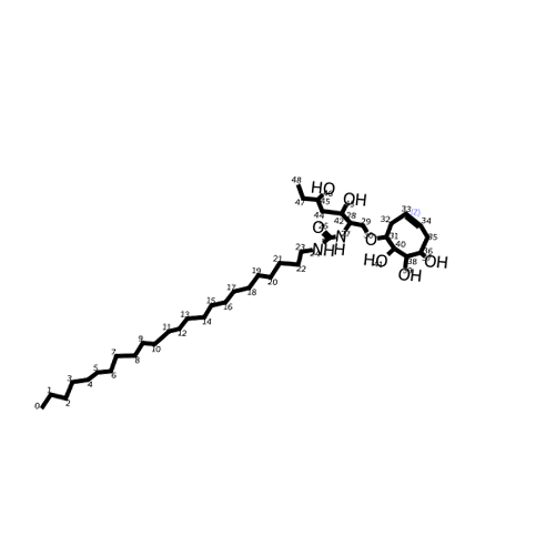 CCCCCCCCCCCCCCCCCCCCCCCCNC(=O)NC(COC1C/C=C\CC(O)C(O)C1O)C(O)CC(O)CC